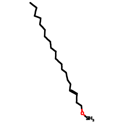 CCCCCCCCCCCCCCCCC=CCCO[SiH3]